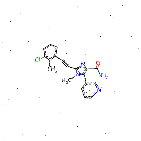 Cc1c(Cl)cccc1C#Cc1nc(C(N)=O)c(-c2cccnc2)n1C